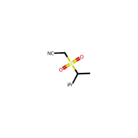 CC(C)C(C)S(=O)(=O)CC#N